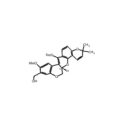 COC1=C2c3cc(OC)c(CO)cc3OC[C@H]2Oc2c1ccc1c2C=CC(C)(C)O1